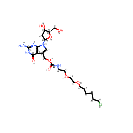 Nc1nc2c(c(COC(=O)NCCOCCOCCCCCCCl)cn2[C@H]2CC(O)[C@@H](CO)O2)c(=O)[nH]1